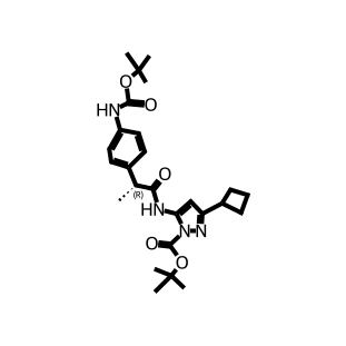 C[C@@H](C(=O)Nc1cc(C2CCC2)nn1C(=O)OC(C)(C)C)c1ccc(NC(=O)OC(C)(C)C)cc1